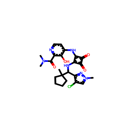 CN(C)C(=O)c1nccc(Nc2c(NC(c3nn(C)cc3Cl)C3(C)CCCC3)c(=O)c2=O)c1O